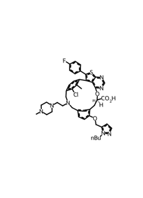 CCCCn1nccc1COc1ccc2cc1C[C@H](C(=O)O)Oc1ncnc3sc(-c4ccc(F)cc4)c(c13)-c1ccc(c(Cl)c1C)CN(CCN1CCN(C)CC1)C2